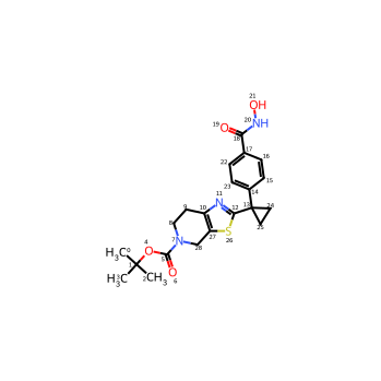 CC(C)(C)OC(=O)N1CCc2nc(C3(c4ccc(C(=O)NO)cc4)CC3)sc2C1